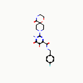 Cn1c(N2CCC3(CC2)OCCNC3=O)nc(C(=O)NCc2ccc(F)cc2)c(O)c1=O